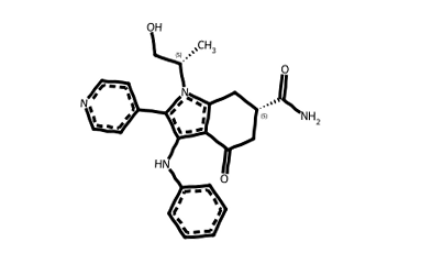 C[C@@H](CO)n1c2c(c(Nc3ccccc3)c1-c1ccncc1)C(=O)C[C@@H](C(N)=O)C2